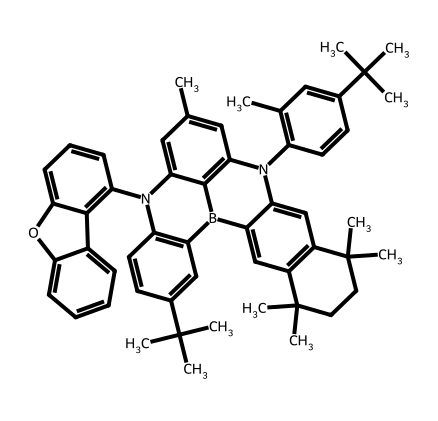 Cc1cc2c3c(c1)N(c1cccc4oc5ccccc5c14)c1ccc(C(C)(C)C)cc1B3c1cc3c(cc1N2c1ccc(C(C)(C)C)cc1C)C(C)(C)CCC3(C)C